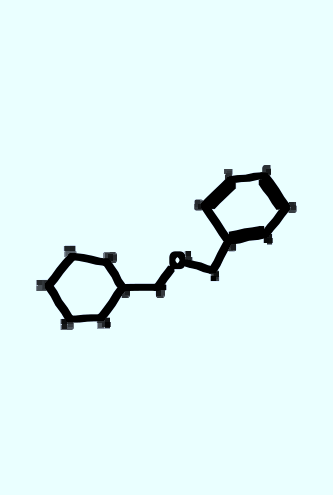 [CH](OCc1ccccc1)C1CCCCC1